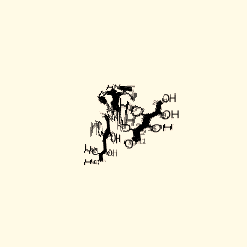 Nc1ncnc2[nH]cnc12.O=C[C@H](O)[C@@H](O)[C@H](O)[C@H](O)CO.OC[C@@H](O)[C@@H](O)[C@H](O)[C@H](O)CO